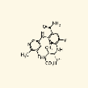 CCC[C@@H](Nc1nc(Nc2cnc(C)c(F)c2)c(C(N)=O)cc1F)[C@H](C)NC(=O)O